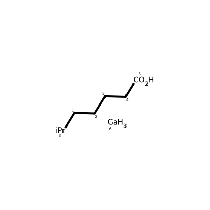 CC(C)CCCCC(=O)O.[GaH3]